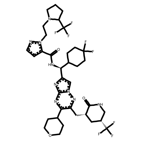 O=C(N[C@H](c1cn2nc(C[C@H]3C[C@@H](C(F)(F)F)CNC3=O)c(C3CCOCC3)nc2n1)C1CCC(F)(F)CC1)c1ccnn1CCN1CCCC1C(F)(F)F